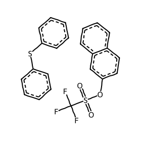 O=S(=O)(Oc1ccc2ccccc2c1)C(F)(F)F.c1ccc(Sc2ccccc2)cc1